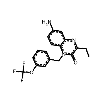 CCc1nc2cc(N)ccc2n(Cc2cccc(OC(F)(F)F)c2)c1=O